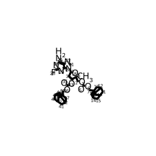 C[C@]1(COC(=O)OCC23CC4CC(CC(C4)C2)C3)O[C@@H](n2cnc3c(N)nc(F)nc32)C[C@@H]1OC(=O)OCC12CC3CC(CC(C3)C1)C2